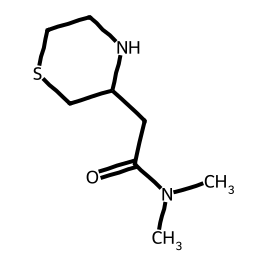 CN(C)C(=O)CC1CSCCN1